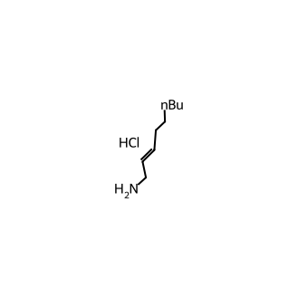 CCCCCCC=CCN.Cl